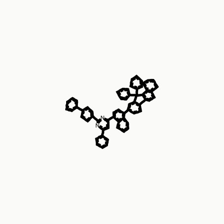 c1ccc(-c2ccc(-c3nc(-c4ccccc4)cc(-c4ccc(-c5ccc6c(c5)C(c5ccccc5)(c5ccccc5)c5c-6ccc6ccccc56)c5ccccc45)n3)cc2)cc1